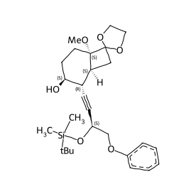 CO[C@@]12CC[C@H](O)[C@@H](C#C[C@@H](COc3ccccc3)O[Si](C)(C)C(C)(C)C)[C@@H]1CC21OCCO1